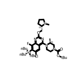 CCC[CH2][Sn]([CH2]CCC)([CH2]CCC)[c]1c(Cl)cc2c(N3CCN(C(=O)OC(C)(C)C)C[C@@H]3C)nc(OC[C@@H]3CCCN3C)nc2c1F